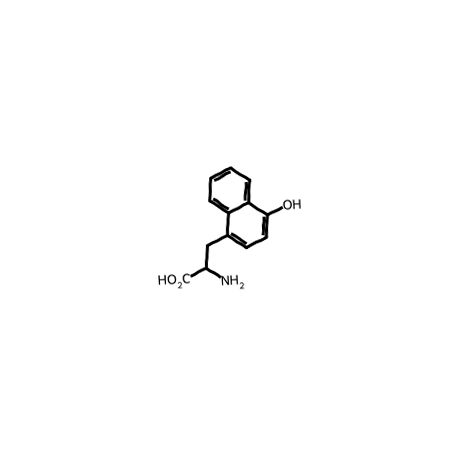 NC(Cc1ccc(O)c2ccccc12)C(=O)O